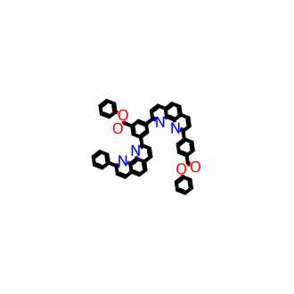 O=C(Oc1ccccc1)c1ccc(-c2ccc3ccc4ccc(-c5cc(C(=O)Oc6ccccc6)cc(-c6ccc7ccc8ccc(-c9ccccc9)nc8c7n6)c5)nc4c3n2)cc1